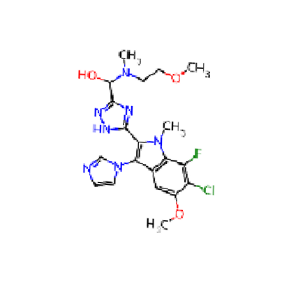 COCCN(C)C(O)c1n[nH]c(-c2c(-n3ccnc3)c3cc(OC)c(Cl)c(F)c3n2C)n1